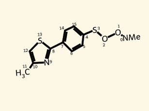 CNOOSc1ccc(-c2nc(C)cs2)cc1